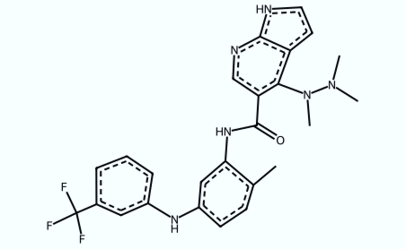 Cc1ccc(Nc2cccc(C(F)(F)F)c2)cc1NC(=O)c1cnc2[nH]ccc2c1N(C)N(C)C